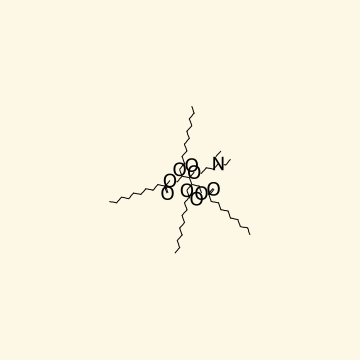 CCCCCCCCCC(=O)OCC(OC(=O)CCCCCCCCC)C(OCCCN(CC)CC)C(COC(=O)CCCCCCCCC)OC(=O)CCCCCCCCC